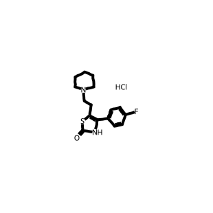 Cl.O=c1[nH]c(-c2ccc(F)cc2)c(CCN2CCCCC2)s1